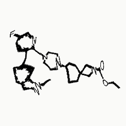 CCOC(=O)N1CC2(CC[C@@H](N3CCN(c4ncc(F)cc4-c4ccc5cnn(C)c5c4)CC3)C2)C1